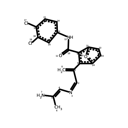 C=C(/C=N\C=C(/C)N)c1c(C(=O)Nc2ccc(Cl)c(Cl)c2)c2ccc1o2